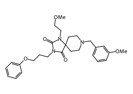 COCCN1C(=O)N(CCCOc2ccccc2)C(=O)C12CCN(Cc1cccc(OC)c1)CC2